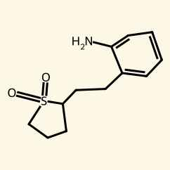 Nc1ccccc1CCC1CCCS1(=O)=O